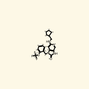 O=c1[nH]c2cnc(NCC3CCCC3)cc2n1Cc1ccccc1OC(F)(F)F